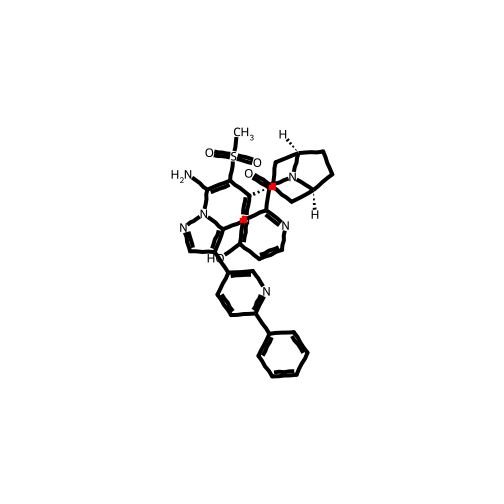 CS(=O)(=O)c1c([C@@H]2C[C@H]3CC[C@@H](C2)N3C(=O)c2cc(O)ccn2)nc2c(-c3ccc(-c4ccccc4)nc3)cnn2c1N